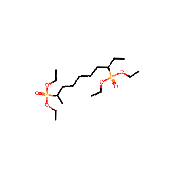 CCOP(=O)(OCC)C(C)CCCCCC(CC)P(=O)(OCC)OCC